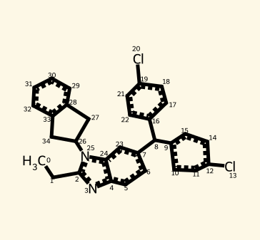 CCc1nc2ccc(C(c3ccc(Cl)cc3)c3ccc(Cl)cc3)cc2n1C1Cc2ccccc2C1